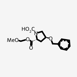 COCOC(=O)[C@H]1C[C@H](OCc2ccccc2)CN1C(=O)O